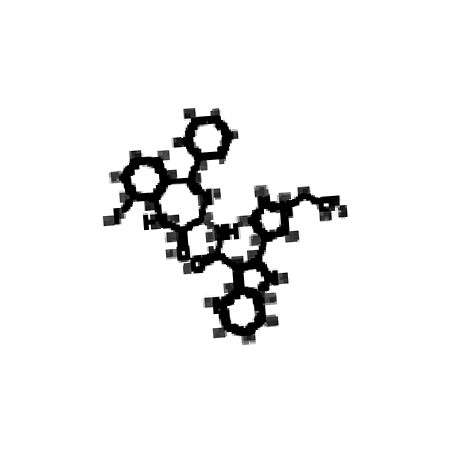 O=C(N[C@H]1N=C(c2ccccc2)c2cccc(F)c2NC1=O)c1c(-c2cnn(CC(F)(F)F)c2)nn2cccnc12